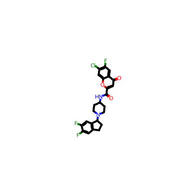 O=C(NC1CCN(C2CCc3cc(F)c(F)cc32)CC1)c1cc(=O)c2cc(F)c(Cl)cc2o1